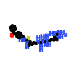 CC(C)(CCCNC(=N)NC(=N)NCCCC(C)(C)NC(=S)NCc1ccc(C(=O)c2ccccc2)cc1)NC(=N)N